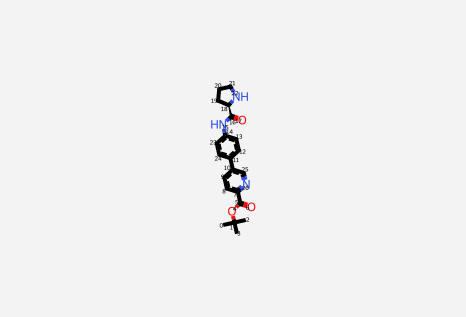 CC(C)(C)OC(=O)c1ccc(-c2ccc(NC(=O)[C@H]3CCCN3)cc2)cn1